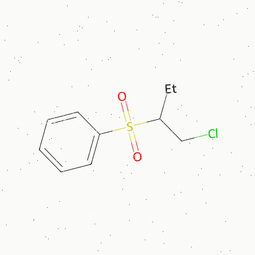 CCC(CCl)S(=O)(=O)c1ccccc1